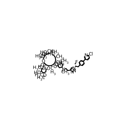 CC[C@H]1OC(=O)[C@H](C)[C@@H](O[C@H]2C[C@@](C)(OC)[C@@H](O)[C@H](C)O2)[C@H](C)[C@@H](O[C@H]2C[C@@H](N(C)CCc3cn([C@H](CF)Cc4ccc(-c5ccc(Cl)nc5)cc4)nn3)C[C@@H](C)O2)[C@](C)(O)C[C@@H](C)CN(C)[C@H](C)[C@@H](O)[C@]1(C)O